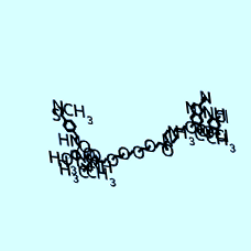 COc1cc(Nc2c(C#N)cnc3cc(OCCCN4CCN(C(=O)CCOCCOCCOCCOCCC(=O)N[C@H](C(=O)N5C[C@H](O)C[C@H]5C(=O)NCc5ccc(-c6scnc6C)cc5)C(C)(C)C)CC4)c(OC)cc23)c(Cl)cc1Cl